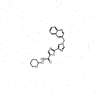 O=C(NOC1CCCCO1)c1cnc(-c2cn(Cc3cnc4ccccc4c3)cn2)s1